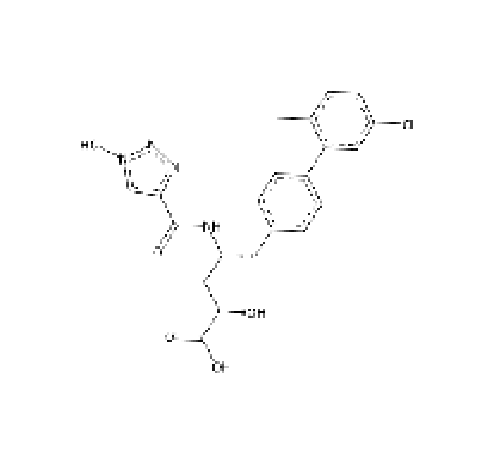 Cc1ccc(Cl)cc1-c1ccc(C[C@H](C[C@@H](O)C(=O)O)NC(=O)c2cn(O)nn2)cc1